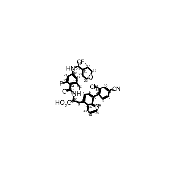 N#Cc1ccc(-c2ccc(C[C@H](NC(=O)c3c(F)cc(N[C@H](C4CCOCC4)C(F)(F)F)cc3F)C(=O)O)c3cccnc23)c(Cl)c1